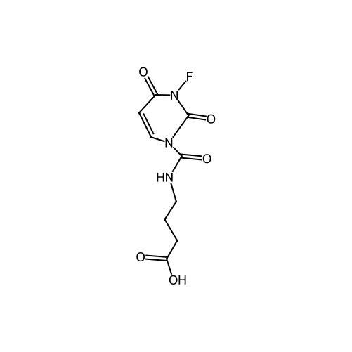 O=C(O)CCCNC(=O)n1ccc(=O)n(F)c1=O